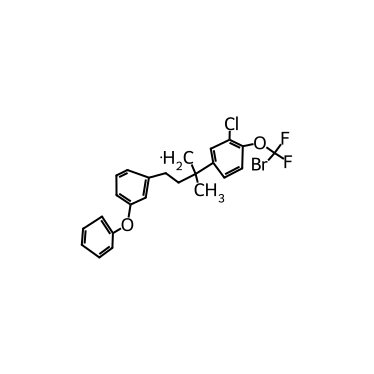 [CH2]C(C)(CCc1cccc(Oc2ccccc2)c1)c1ccc(OC(F)(F)Br)c(Cl)c1